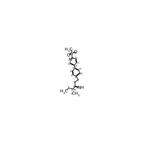 CC[C@@H](C)C(=N)CCc1ccc(-c2ccc(S(C)(=O)=O)nc2)cc1